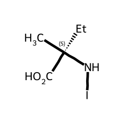 CC[C@](C)(NI)C(=O)O